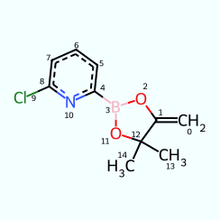 C=C1OB(c2cccc(Cl)n2)OC1(C)C